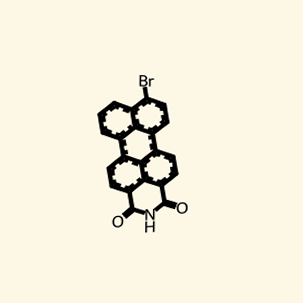 O=C1NC(=O)c2ccc3c4ccc(Br)c5cccc(c6ccc1c2c63)c54